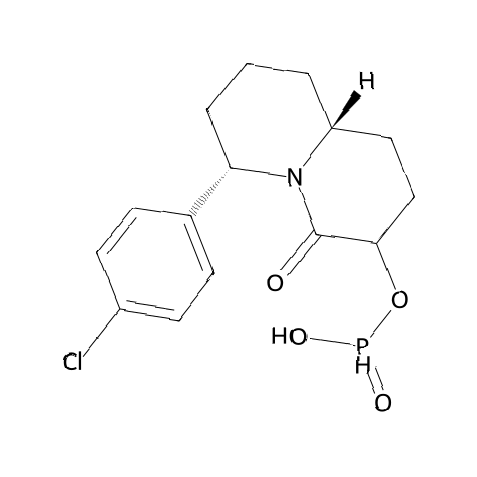 O=C1C(O[PH](=O)O)CC[C@H]2CCC[C@@H](c3ccc(Cl)cc3)N12